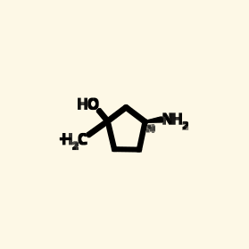 [CH2]C1(O)CC[C@H](N)C1